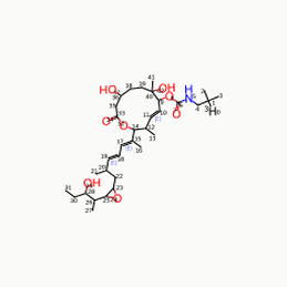 [3H]C(C)(C)CNC(=O)OC1/C=C/C(C)C(/C(C)=C/C=C/C(C)CC2OC2C(C)C(O)CC)OC(=O)CC(O)CCC1(C)O